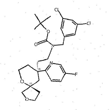 CC(C)(C)OC(=O)N(CC[C@@]1(c2ccc(F)cn2)CCO[C@]2(CCOC2)C1)Cc1cc(Cl)cc(Cl)c1